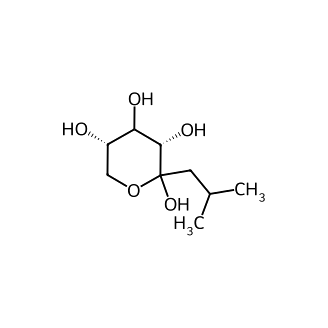 CC(C)CC1(O)OC[C@H](O)C(O)[C@@H]1O